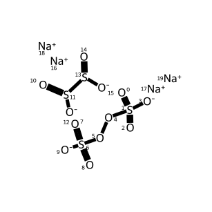 O=S(=O)([O-])OOS(=O)(=O)[O-].O=S([O-])S(=O)[O-].[Na+].[Na+].[Na+].[Na+]